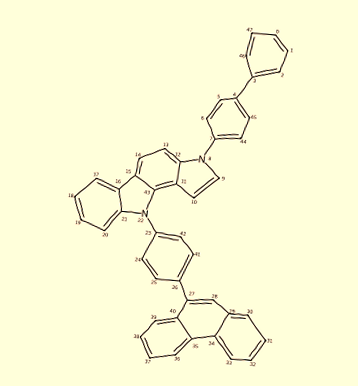 c1ccc(-c2ccc(-n3ccc4c3ccc3c5ccccc5n(-c5ccc(-c6cc7ccccc7c7ccccc67)cc5)c34)cc2)cc1